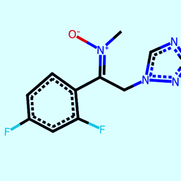 C[N+]([O-])=C(Cn1cncn1)c1ccc(F)cc1F